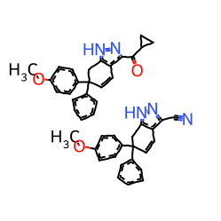 COc1ccc(C2(c3ccccc3)C=Cc3c(C#N)n[nH]c3C2)cc1.COc1ccc(C2(c3ccccc3)C=Cc3c(C(=O)C4CC4)n[nH]c3C2)cc1